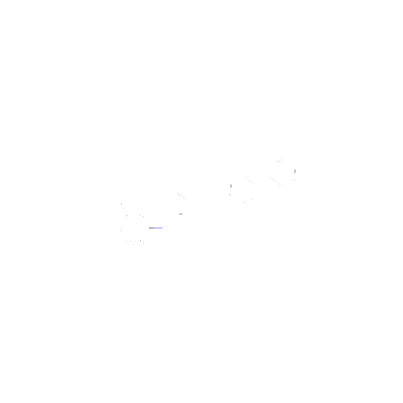 CNC(=Nc1cc(CCc2ccc(-c3ccccc3)c(F)c2)no1)N(C)C(=N)N